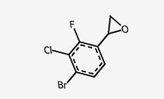 Fc1c(C2CO2)ccc(Br)c1Cl